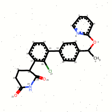 CC(Oc1ccccn1)c1ccc(-c2cccc(C3CCC(=O)NC3=O)c2Cl)cc1